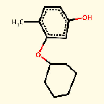 Cc1ccc(O)cc1OC1CCCCC1